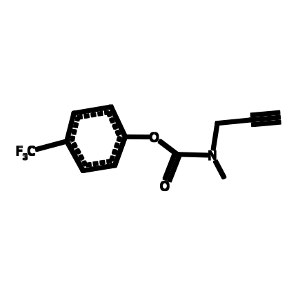 C#CCN(C)C(=O)Oc1ccc(C(F)(F)F)cc1